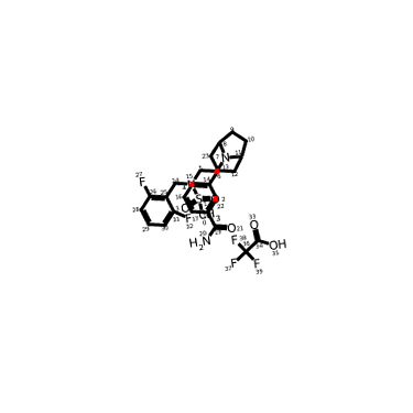 CS(=O)(=O)N(CCN1C2CCC1CC(c1cccc(C(N)=O)c1)C2)Cc1c(F)cccc1F.O=C(O)C(F)(F)F